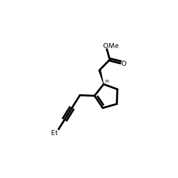 CCC#CCC1=CCC[C@@H]1CC(=O)OC